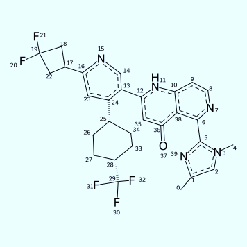 Cc1cn(C)c(-c2nccc3[nH]c(-c4cnc(C5CC(F)(F)C5)cc4[C@H]4CC[C@@H](C(F)(F)F)CC4)cc(=O)c23)n1